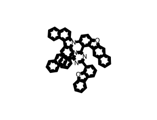 c1ccc2cc(-c3nc(-c4cccc5c4oc4ccccc45)nc(-c4c(-n5c6cc7ccccc7cc6c6c7ccccc7ccc65)ccc5oc6cc7ccccc7cc6c45)n3)ccc2c1